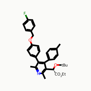 CCOC(=O)[C@@H](OC(C)(C)C)c1c(C)nc(C)c(-c2ccc(OCc3ccc(F)cc3)cc2)c1-c1ccc(C)cc1